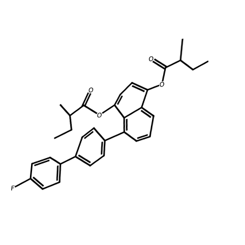 CCC(C)C(=O)Oc1ccc(OC(=O)C(C)CC)c2c(-c3ccc(-c4ccc(F)cc4)cc3)cccc12